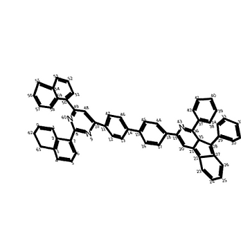 C1=Cc2c(cccc2-c2nc(-c3ccc(-c4ccc(C5=CC6=c7ccccc7=C(c7ccccc7)C6C(c6ccccc6)=N5)cc4)cc3)cc(-c3cccc4ccccc34)n2)CC1